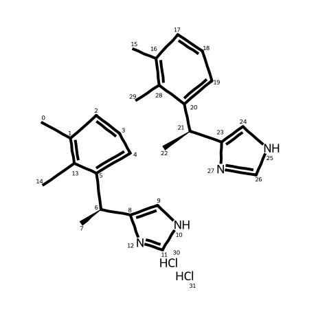 Cc1cccc([C@H](C)c2c[nH]cn2)c1C.Cc1cccc([C@H](C)c2c[nH]cn2)c1C.Cl.Cl